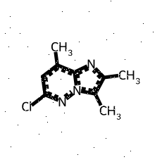 Cc1nc2c(C)cc(Cl)nn2c1C